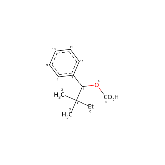 CCC(C)(C)C(OC(=O)O)c1ccccc1